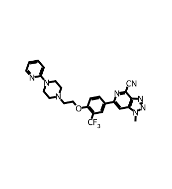 Cn1nnc2c(C#N)nc(-c3ccc(OCCN4CCN(c5ccccn5)CC4)c(C(F)(F)F)c3)cc21